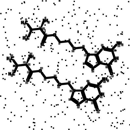 CC(C)[C@H](N)C(=O)OCCOCn1cnc2c(=O)[nH]c(N)nc21.CC(C)[C@H](N)C(=O)OCCOCn1cnc2c(=O)[nH]c(N)nc21